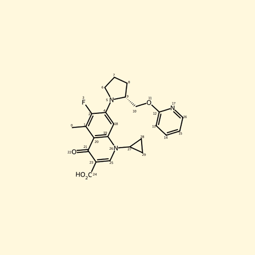 Cc1c(F)c(N2CCC[C@@H]2COc2ccccn2)cc2c1c(=O)c(C(=O)O)cn2C1CC1